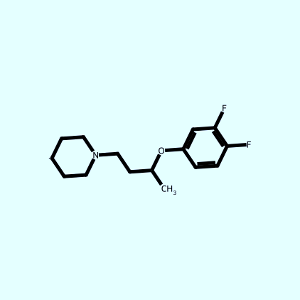 CC(CCN1CC[CH]CC1)Oc1ccc(F)c(F)c1